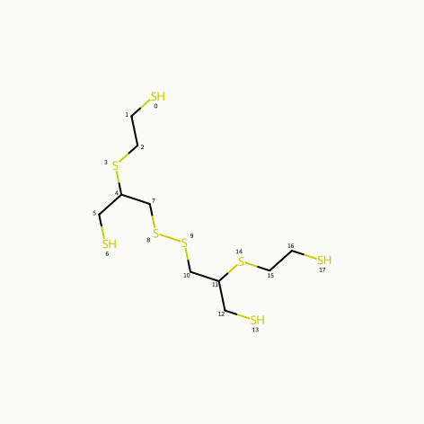 SCCSC(CS)CSSCC(CS)SCCS